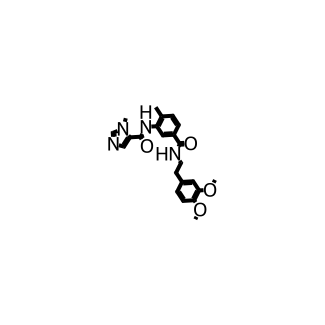 COc1ccc(CCNC(=O)c2ccc(C)c(NC(=O)c3cncn3C)c2)cc1OC